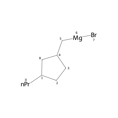 CCCC1CCC([CH2][Mg][Br])C1